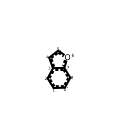 [c]1ccc2c[c]oc2c1